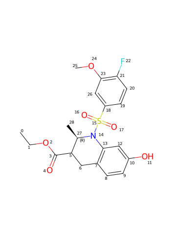 CCOC(=O)C1Cc2ccc(O)cc2N(S(=O)(=O)c2ccc(F)c(OC)c2)[C@@H]1C